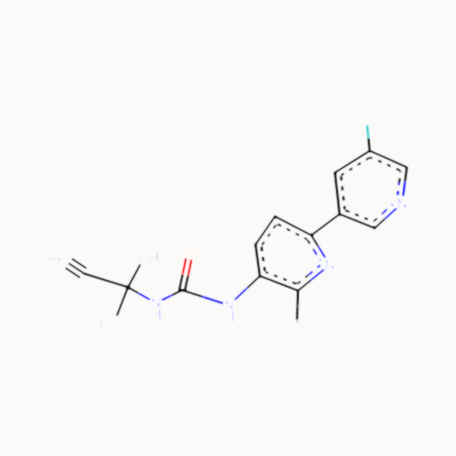 C#CC(C)(C)NC(=O)Nc1ccc(-c2cncc(F)c2)nc1C(F)(F)F